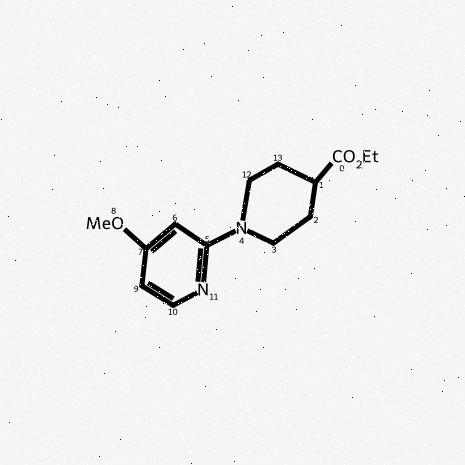 CCOC(=O)C1CCN(c2cc(OC)ccn2)CC1